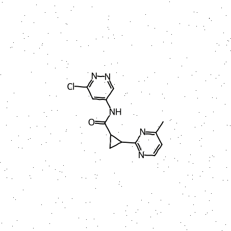 Cc1ccnc(C2CC2C(=O)Nc2cnnc(Cl)c2)n1